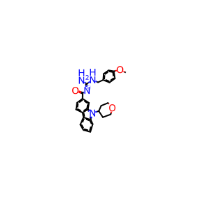 COc1ccc(CN/C(N)=N/C(=O)c2ccc3c4ccccc4n(C4CCOCC4)c3c2)cc1